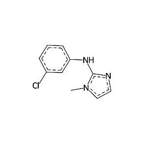 Cn1ccnc1Nc1cccc(Cl)c1